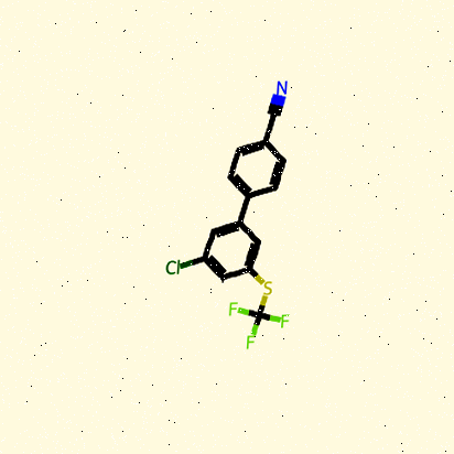 N#Cc1ccc(-c2cc(Cl)[c]c(SC(F)(F)F)c2)cc1